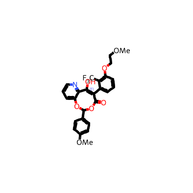 COCCOc1cccc(/C2=C(\O)c3ncccc3OC(c3ccc(OC)cc3)OC2=O)c1C(F)(F)F